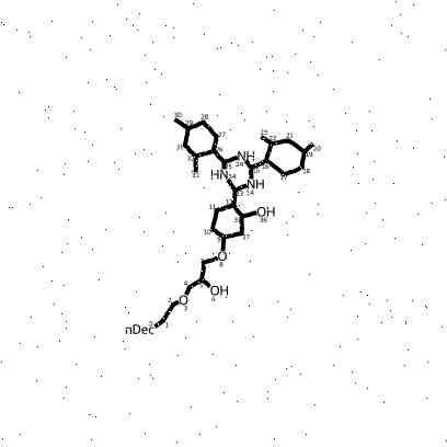 CCCCCCCCCCCCOCC(O)COC1CCC(C2NC(C3CCC(C)CC3C)NC(C3CCC(C)CC3C)N2)C(O)C1